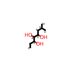 CCC(O)C(O)C(O)CC(C)C